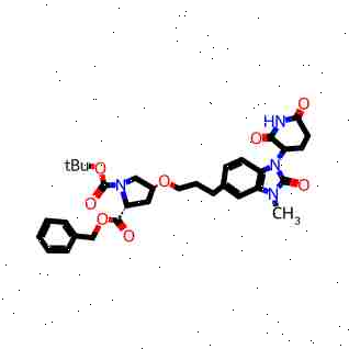 Cn1c(=O)n(C2CCC(=O)NC2=O)c2ccc(CCCO[C@@H]3C[C@H](C(=O)OCc4ccccc4)N(C(=O)OC(C)(C)C)C3)cc21